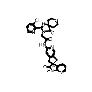 O=C(CN1C(=O)C2(CCOCC2)N=C1c1ncccc1Cl)Nc1cc2c(cn1)C[C@]1(C2)C(=O)Nc2ncccc21